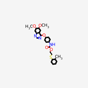 COc1cc2ncnc(Oc3ccc(NC(=O)OCCSc4ccccc4C)cc3)c2cc1OC